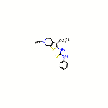 CCCN1CCc2c(sc(NC(=S)Nc3ccccc3)c2C(=O)OCC)C1